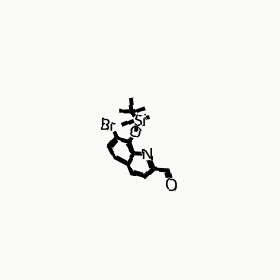 CC(C)(C)[Si](C)(C)Oc1c(Br)ccc2ccc(C=O)nc12